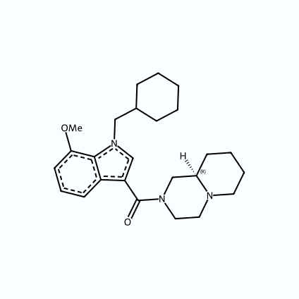 COc1cccc2c(C(=O)N3CCN4CCCC[C@@H]4C3)cn(CC3CCCCC3)c12